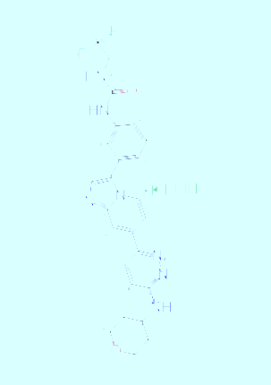 Cl.Cl.O=C(NCC(F)(F)F)Nc1cccc(-c2cnc3cc(-c4ccc(NC5CCOCC5)nn4)ccn23)c1